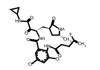 C=C(F)CCC(=O)Nc1c(Cl)cc(Cl)cc1C(=O)N[C@@H](C[C@@H]1C[C@@H](C)NC1=O)C(=O)C(=O)NC1CC1